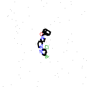 O=C(N1CCC2(CCCN(c3ncc(Br)cc3Cl)C2)C1)C12CC3CC(CC(C3)C1)C2